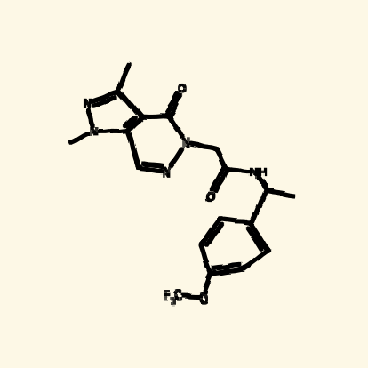 Cc1nn(C)c2cnn(CC(=O)NC(C)c3ccc(OC(F)(F)F)cc3)c(=O)c12